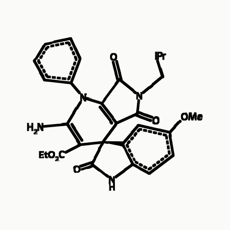 CCOC(=O)C1=C(N)N(c2ccccc2)C2=C(C(=O)N(CC(C)C)C2=O)[C@]12C(=O)Nc1ccc(OC)cc12